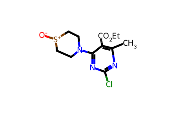 CCOC(=O)c1c(C)nc(Cl)nc1N1CC[S+]([O-])CC1